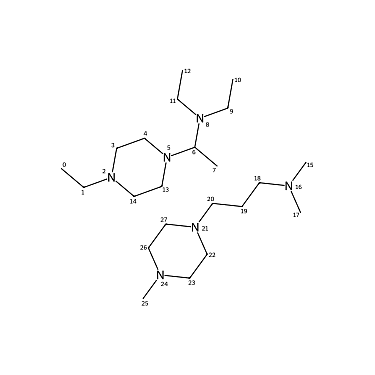 CCN1CCN(C(C)N(CC)CC)CC1.CN(C)CCCN1CCN(C)CC1